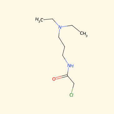 CCN(CC)CCCNC(=O)CCl